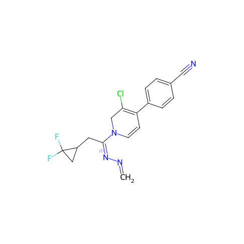 C=N/N=C(/CC1CC1(F)F)N1C=CC(c2ccc(C#N)cc2)=C(Cl)C1